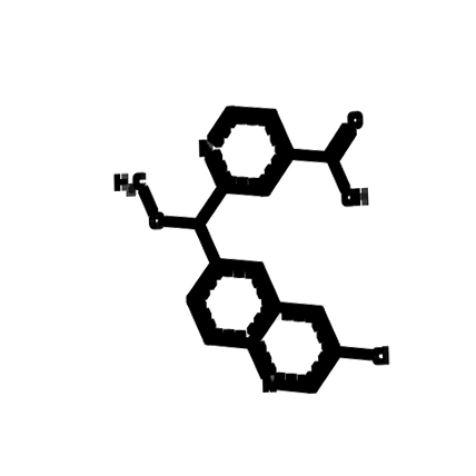 COC(c1ccc2ncc(Cl)cc2c1)c1cc(C(=O)O)ccn1